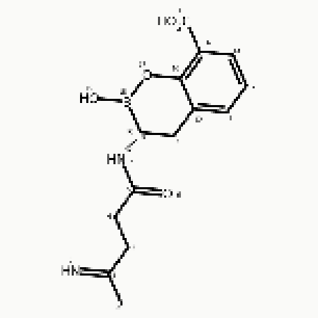 CC(=N)CCC(=O)N[C@H]1Cc2cccc(C(=O)O)c2OB1O